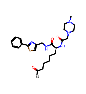 CCC(=O)CCCCC[C@H](NC(=O)CN1CCN(C)CC1)C(=O)NCc1csc(-c2ccccc2)n1